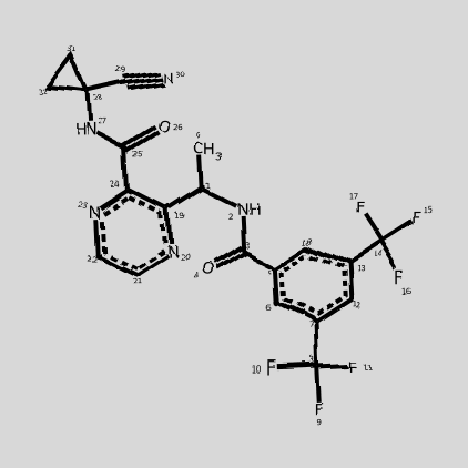 CC(NC(=O)c1cc(C(F)(F)F)cc(C(F)(F)F)c1)c1nccnc1C(=O)NC1(C#N)CC1